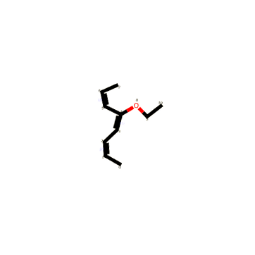 C\C=C/C=C(\C=C/C)OCC